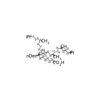 CC(C)CCCC(C)CCCC(C)CCCCC(C)CCCC(C)CCCC(C)C.CCCCCCCCCCCCCCCCCC(=O)O